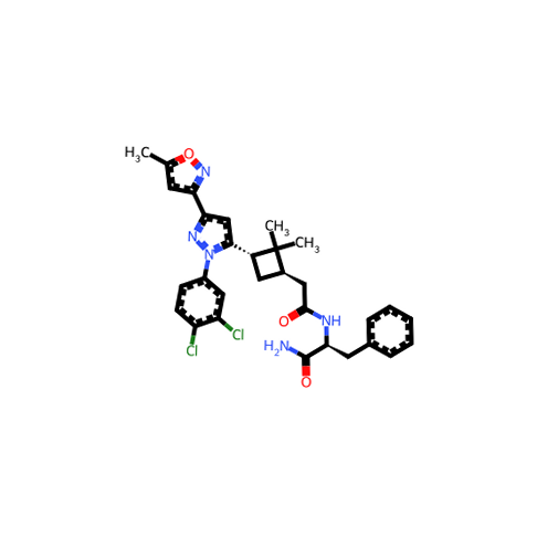 Cc1cc(-c2cc([C@H]3C[C@H](CC(=O)N[C@@H](Cc4ccccc4)C(N)=O)C3(C)C)n(-c3ccc(Cl)c(Cl)c3)n2)no1